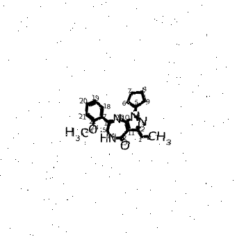 CCc1nn(C2CCCC2)c2c1C(=O)NCC(c1ccccc1OC)=N2